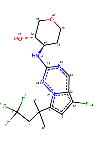 CC(C)(CC(F)(F)F)c1cc(F)c2cnc(N[C@@H]3CCOC[C@H]3O)nn12